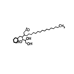 CCCCCCCCCCCCCCCCC(CC1CO1)C(Cc1ccccc1)C(O)C(O)CO